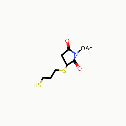 CC(=O)ON1C(=O)CC(SCCCS)C1=O